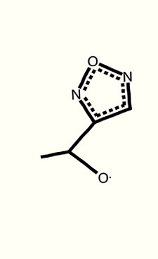 CC([O])c1cnon1